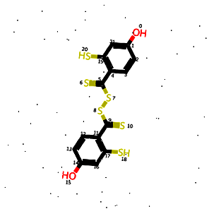 Oc1ccc(C(=S)SSC(=S)c2ccc(O)cc2S)c(S)c1